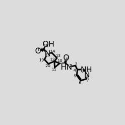 O=C(NCC1C=CC=NN1)[C@H]1CC12CCN(C(=O)O)CC2